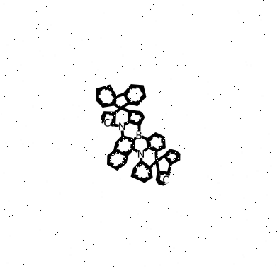 c1ccc2c(c1)-c1ccccc1C21c2ccccc2N2c3cc4ccccc4c4c3B(c3cccc1c32)c1cccc2c1N4c1ccccc1C21c2ccccc2-c2ccccc21